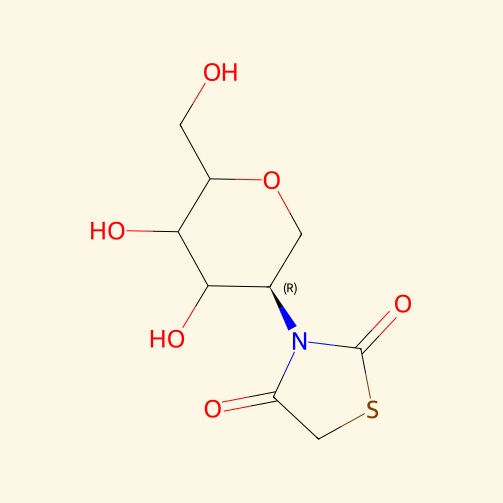 O=C1CSC(=O)N1[C@@H]1COC(CO)C(O)C1O